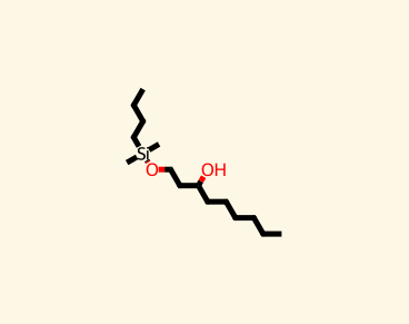 CCCCCCC(O)CCO[Si](C)(C)CCCC